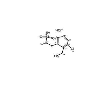 CC(C)S(=O)(=O)N(C)Cc1cncc(Cl)c1CCl.Cl